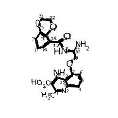 Cc1nc2cccc(OC[C@H](N)NC(=O)c3cccc4c3OCCO4)c2c(N)c1C(=O)O